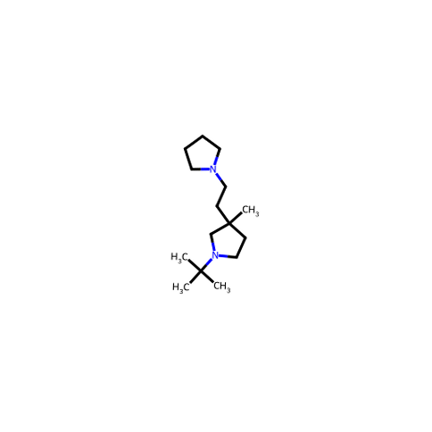 CC1(CCN2CCCC2)CCN(C(C)(C)C)C1